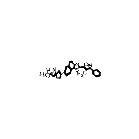 N[C@]1(CCO)CC[C@@H](c2ccc3c(c2)CCc2nc(-c4onc(-c5ccccc5)c4C(F)(F)F)sc2-3)C1